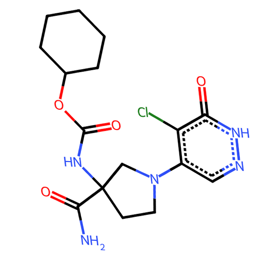 NC(=O)C1(NC(=O)OC2CCCCC2)CCN(c2cn[nH]c(=O)c2Cl)C1